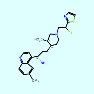 COc1ccc2nccc([C@@H](N)CC[C@@H]3CCN(CC(S)c4nccs4)C[C@@H]3C(=O)O)c2c1